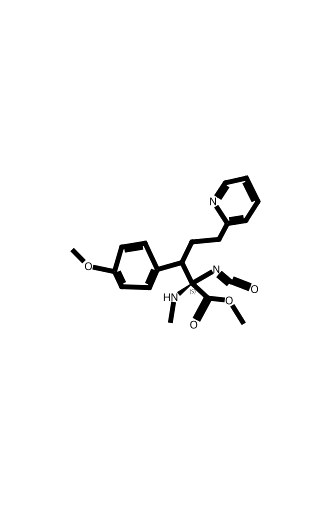 CN[C@@](N=C=O)(C(=O)OC)C(CCc1ccccn1)c1ccc(OC)cc1